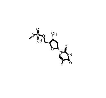 COP(=O)(O)OC[C@H]1O[C@@H](n2cc(F)c(=O)[nH]c2=O)C[C@H]1O